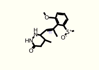 COc1cccc([S+](C)[O-])c1/C(C)=C/C1NNC(=O)CC1C